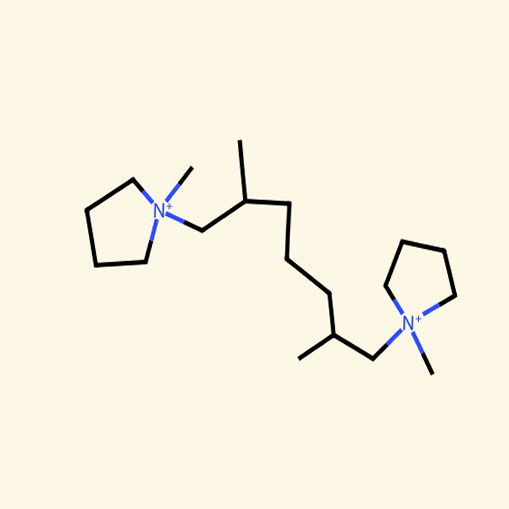 CC(CCCC(C)C[N+]1(C)CCCC1)C[N+]1(C)CCCC1